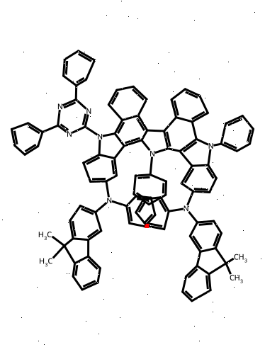 CC1(C)c2ccccc2-c2cc(N(c3ccccc3)c3ccc4c(c3)c3c(c5ccccc5c5c6c7ccccc7c7c(c8cc(N(c9ccccc9)c9ccc%10c(c9)-c9ccccc9C%10(C)C)ccc8n7-c7nc(-c8ccccc8)nc(-c8ccccc8)n7)c6n(-c6ccccc6)c53)n4-c3ccccc3)ccc21